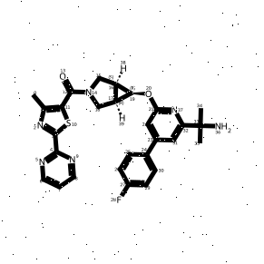 Cc1nc(-c2ncccn2)sc1C(=O)N1C[C@@H]2[C@H](C1)[C@@H]2Oc1cc(-c2ccc(F)cc2)cc(C(C)(C)N)n1